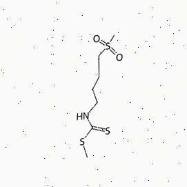 CSC(=S)NCCCCS(C)(=O)=O